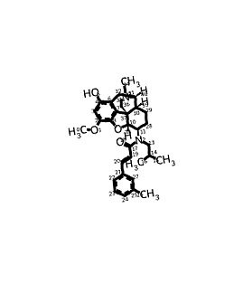 COc1cc(O)c2c3c1O[C@H]1[C@H](N(CC(C)C)C(=O)C=Cc4cccc(C)c4)CC[C@H]4[C@@H](C2)N(C)CC[C@@]341